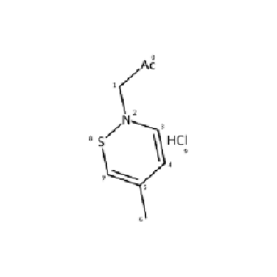 CC(=O)CN1C=CC(C)=CS1.Cl